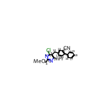 CCCc1nc(COC)nc(Cl)c1Cc1ccc(-c2ccccc2)c(C#N)c1